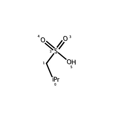 [CH2]C(C)CS(=O)(=O)O